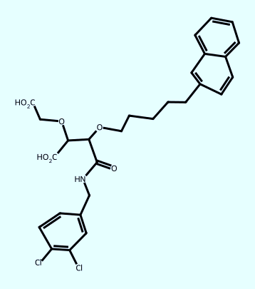 O=C(O)COC(C(=O)O)C(OCCCCCc1ccc2ccccc2c1)C(=O)NCc1ccc(Cl)c(Cl)c1